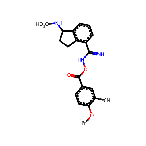 CC(C)Oc1ccc(C(=O)ONC(=N)c2cccc3c2CCC3NC(=O)O)cc1C#N